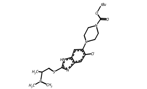 CC(CSc1nc2cc(Cl)c(N3CCN(C(=O)OC(C)(C)C)CC3)cc2[nH]1)N(C)C